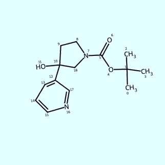 CC(C)(C)OC(=O)N1CCC(O)(c2cccnc2)C1